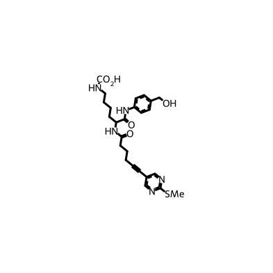 CSc1ncc(C#CCCCC(=O)NC(CCCCNC(=O)O)C(=O)Nc2ccc(CO)cc2)cn1